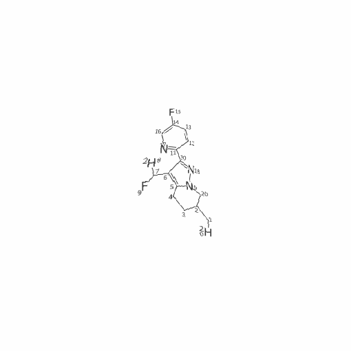 [2H]CC1CCc2c(C([2H])F)c(-c3ccc(F)cn3)nn2C1